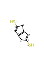 SC1=CC2=C(C=C(S)C2)C1